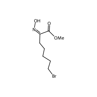 COC(=O)/C(CCCCCBr)=N\O